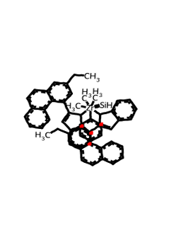 CCc1cc(C2=Cc3ccccc3[CH]2[Zr]([CH3])([CH3])([CH3])(=[SiH2])([c]2ccccc2)[CH]2C(c3cc(CC)cc4ccc5ccccc5c34)=Cc3ccccc32)c2c(ccc3ccccc32)c1